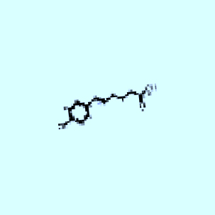 O=C(O)CCC/C=C/c1ccc(Cl)cc1